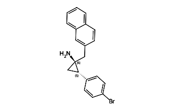 N[C@]1(Cc2ccc3ccccc3c2)C[C@H]1c1ccc(Br)cc1